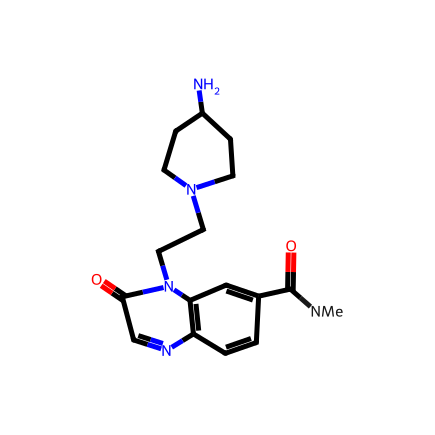 CNC(=O)c1ccc2ncc(=O)n(CCN3CCC(N)CC3)c2c1